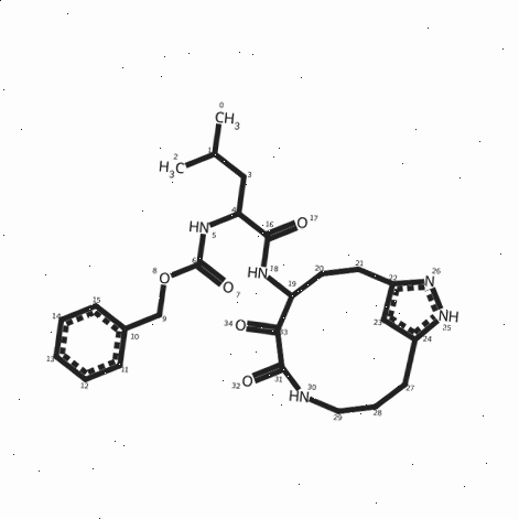 CC(C)CC(NC(=O)OCc1ccccc1)C(=O)NC1CCc2cc([nH]n2)CCCNC(=O)C1=O